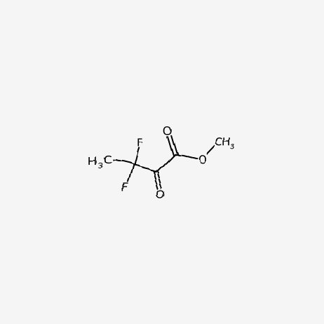 COC(=O)C(=O)C(C)(F)F